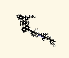 C=N/C(=C\N=C(/C)Nc1cc(COc2ccc(NC(=O)Nc3cc(C(C)(C)C)nn3-c3ccc(C)cc3)c3ccccc23)ccn1)C(=O)NCCC1CCN(C)CC1